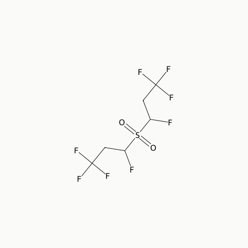 O=S(=O)(C(F)CC(F)(F)F)C(F)CC(F)(F)F